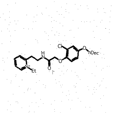 CCCCCCCCCCOc1ccc(OCC(=O)NCCc2cccc[n+]2CC)c(Cl)c1.[I-]